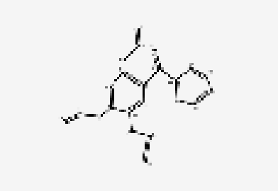 C=CCc1cc(CC=C)c(C(=O)c2ccccc2)cc1CC=C